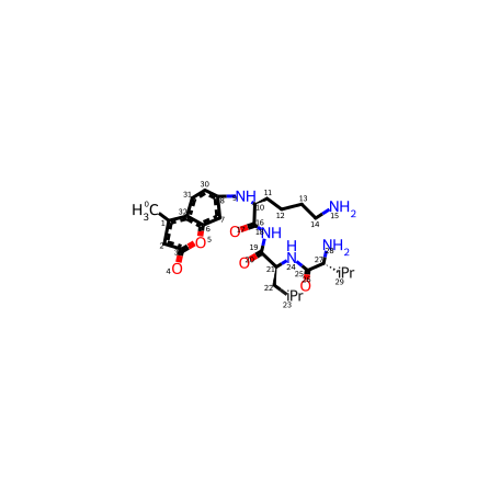 Cc1cc(=O)oc2cc(N[C@@H](CCCCN)C(=O)NC(=O)[C@H](CC(C)C)NC(=O)[C@H](N)C(C)C)ccc12